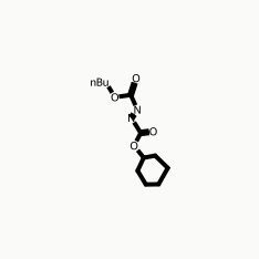 CCCCOC(=O)N=NC(=O)OC1CCCCC1